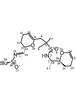 C[C@H](N[S@@+]([O-])C(C)(C)CC1=CCC[C@@H](/C=N/[S@@+]([O-])C(C)(C)C)O1)[C@@H]1CCC=CO1